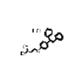 CCN(CC)CCOc1ccc(C(=Cc2ccccc2)c2ccccc2)cc1.Cl